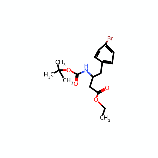 CCOC(=O)CC(Cc1ccc(Br)cc1)NC(=O)OC(C)(C)C